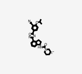 CC(C)Oc1ccc(-c2nc(-c3cccc4c3CC[C@@H]4NC(=O)N3CCC[C@@H](C)C3)no2)cc1C#N